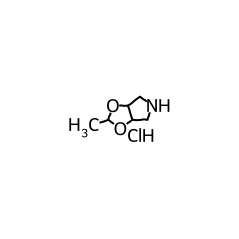 CC1OC2CNCC2O1.Cl